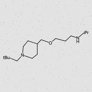 CC(C)NCCCOCC1CCN(CC(C)(C)C)CC1